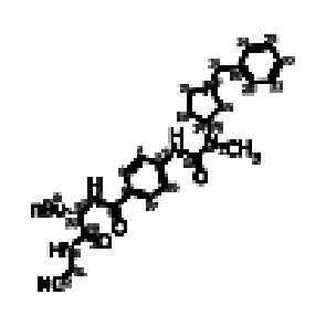 CCCC[C@H](NC(=O)c1ccc(NC(=O)N(C)[C@H]2CCN(Cc3ccccc3)C2)cc1)C(=O)NCC#N